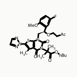 CCCCOC(=O)C(C)(C)n1c(=O)c2c(C)c(-n3nccn3)sc2n(C[C@H](OCCC(C)=O)c2cc(F)ccc2OC)c1=O